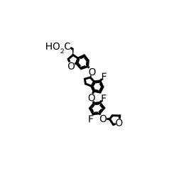 O=C(O)C[C@@H]1COc2cc(O[C@@H]3CCc4c(Oc5cc(F)c(OC6CCOC6)cc5F)ccc(F)c43)ccc21